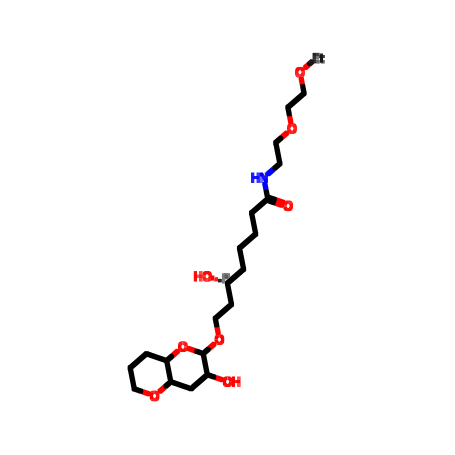 CCOCCOCCNC(=O)CCCC[C@@H](O)CCOC1OC2CCCOC2CC1O